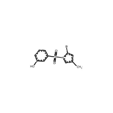 [CH2]c1cc(Br)n(S(=O)(=O)c2cccc(O)c2)c1